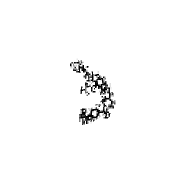 Cc1c(C(=O)NCCN2CCOCC2)ccc2nn(CC3CCN(C(=O)c4ccc(S(F)(F)(F)(F)F)cc4)CC3)cc12